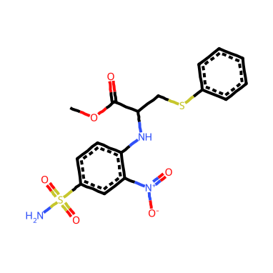 COC(=O)C(CSc1ccccc1)Nc1ccc(S(N)(=O)=O)cc1[N+](=O)[O-]